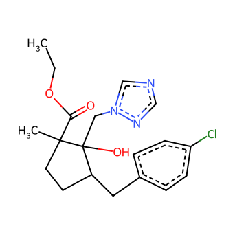 CCOC(=O)C1(C)CCC(Cc2ccc(Cl)cc2)C1(O)Cn1cncn1